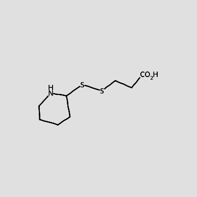 O=C(O)CCSSC1CCCCN1